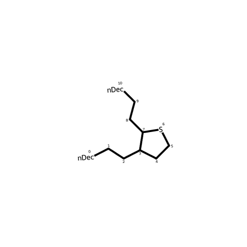 CCCCCCCCCCCCC1CCSC1CCCCCCCCCCCC